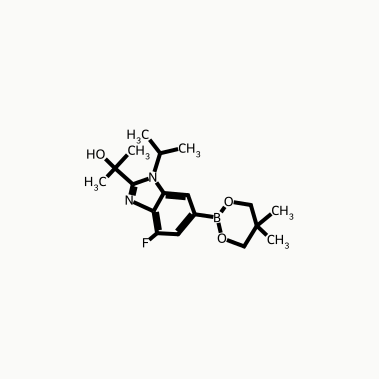 CC(C)n1c(C(C)(C)O)nc2c(F)cc(B3OCC(C)(C)CO3)cc21